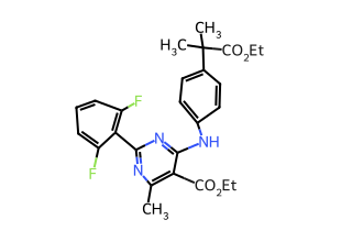 CCOC(=O)c1c(C)nc(-c2c(F)cccc2F)nc1Nc1ccc(C(C)(C)C(=O)OCC)cc1